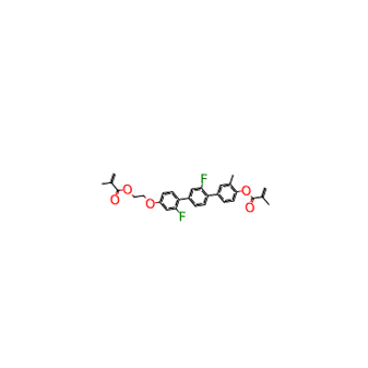 C=C(C)C(=O)OCCOc1ccc(-c2ccc(-c3ccc(OC(=O)C(=C)C)c(C)c3)c(F)c2)c(F)c1